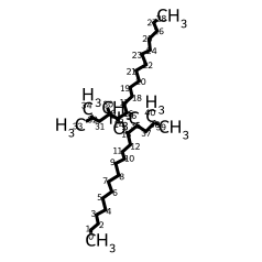 CCCCCCCCCCCCCC(OC(CCCCCCCCCCCCC)C(C)CC(C)C)C(C)CC(C)C